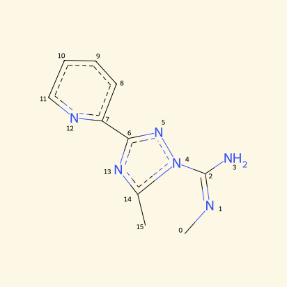 C/N=C(/N)n1nc(-c2ccccn2)nc1C